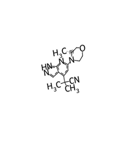 C[C@@H]1COCCN1c1cc(C(C)(C)C#N)c2cn[nH]c2n1